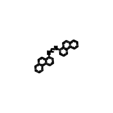 C(=Nc1cccc2c1ccc1ccccc12)=Nc1cccc2c1ccc1ccccc12